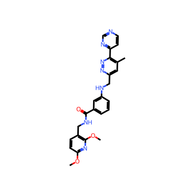 COc1ccc(CNC(=O)c2cccc(NCc3cc(C)c(-c4ccncn4)nn3)c2)c(OC)n1